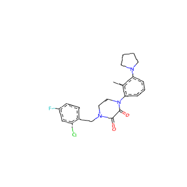 Cc1c(N2CCCC2)cccc1N1CCN(Cc2ccc(F)cc2Cl)C(=O)C1=O